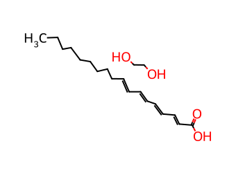 CCCCCCCCCC=CC=CC=CC=CC(=O)O.OCCO